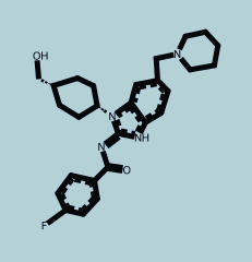 O=C(/N=c1\[nH]c2ccc(CN3CCCCC3)cc2n1[C@H]1CC[C@@H](CO)CC1)c1ccc(F)cc1